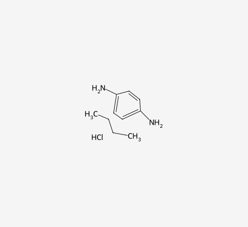 CCCC.Cl.Nc1ccc(N)cc1